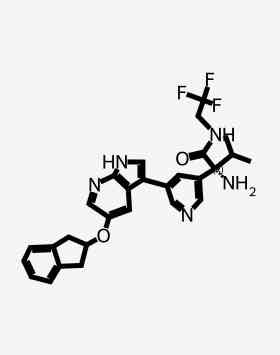 CC(C)[C@](N)(C(=O)NCC(F)(F)F)c1cncc(-c2c[nH]c3ncc(OC4Cc5ccccc5C4)cc23)c1